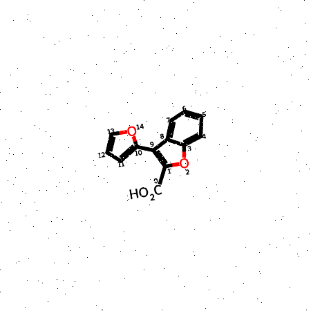 O=C(O)c1oc2ccccc2c1-c1ccco1